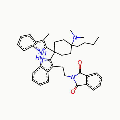 CCCCC1(N(C)C)CCC(c2[nH]c3ccccc3c2C)(c2[nH]c3ccccc3c2CCN2C(=O)c3ccccc3C2=O)CC1